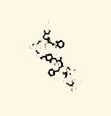 CCN(C(=O)[C@@H](NC(=O)c1oc(C)nc1C)C(C)(C)C)[C@@H](CC(C)C)C(=O)NC(CC1CC(c2ccc(C(=O)N[C@H](C(=O)N[C@@H](CC(C)C)C(=O)NC(CC3CCNC3=O)C(=O)C(=O)c3nc4ccccc4o3)C(C)(C)C)cc2OC)NC1=O)C(=O)C(=O)c1ccccc1